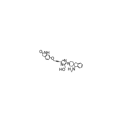 N[C@@H]1c2ccccc2CC12CCN(c1ncc(C#CCOc3ccc4c(c3)NC(=O)C4)nc1CO)CC2